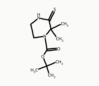 CC(C)(C)OC(=O)N1CCNC(=S)C1(C)C